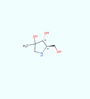 CC1(O)CN[C@H](CO)[C@H]1O